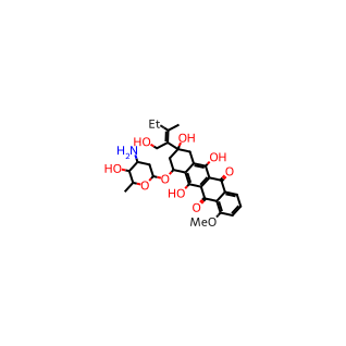 CC/C(C)=C(\CO)C1(O)Cc2c(O)c3c(c(O)c2C(OC2CC(N)C(O)C(C)O2)C1)C(=O)c1c(OC)cccc1C3=O